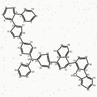 c1ccc(-c2ccccc2-c2ccc(-c3ccc(N(c4ccccc4)c4ccc(-c5ccc(-c6cccc7c6oc6ccccc67)c6ccccc56)cc4)cc3)cc2)cc1